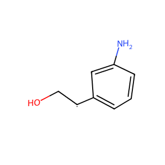 Nc1cccc([CH]CO)c1